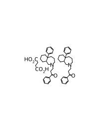 O=C(CCN1CCCC2(c3ccccc3)CCCCC2C1)c1ccccc1.O=C(CCN1CCCC2(c3ccccc3)CCCCC2C1)c1ccccc1.O=C(O)CCC(=O)O